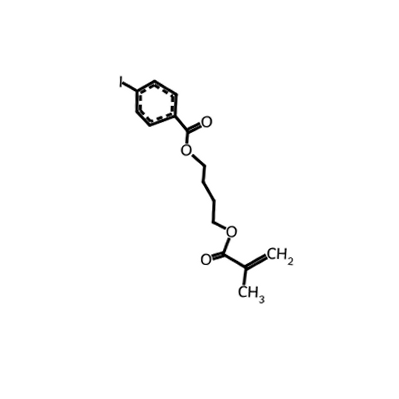 C=C(C)C(=O)OCCCCOC(=O)c1ccc(I)cc1